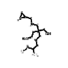 COCC(CO)(COCC(C)OC)COCC1CO1